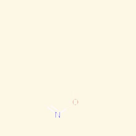 CC1=NO[C@@H](c2ccccc2-c2ccccc2)C1